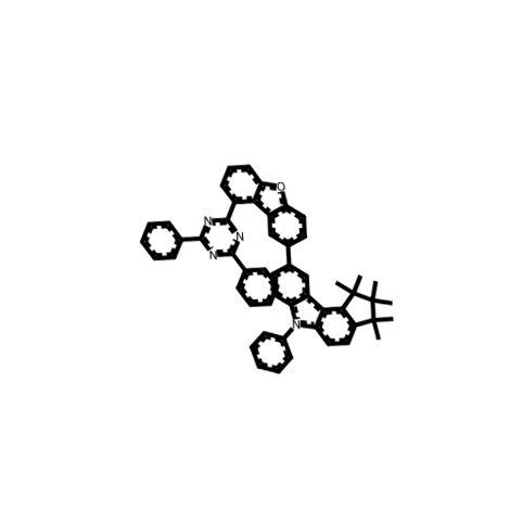 CC1(C)c2ccc3c(c2C(C)(C)C1(C)C)c1cc(-c2ccc4oc5cccc(-c6nc(-c7ccccc7)nc(-c7ccccc7)n6)c5c4c2)ccc1n3-c1ccccc1